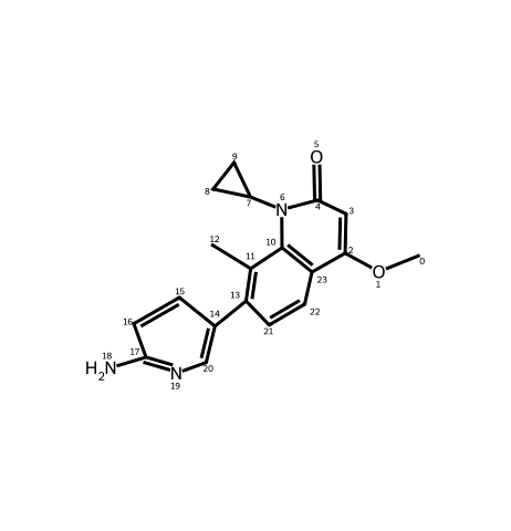 COc1cc(=O)n(C2CC2)c2c(C)c(-c3ccc(N)nc3)ccc12